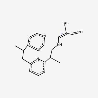 CC(C)/C(C=N)=C/NCC(C)c1cccc(CC(C)c2ccncc2)n1